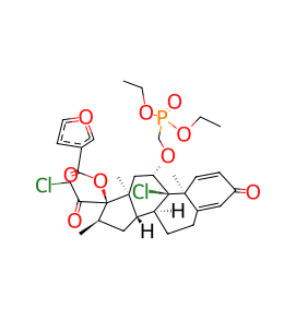 CCOP(=O)(CO[C@H]1C[C@@]2(C)[C@@H](C[C@@H](C)[C@]2(OC(=O)c2ccoc2)C(=O)CCl)[C@@H]2CCC3=CC(=O)C=C[C@]3(C)[C@@]12Cl)OCC